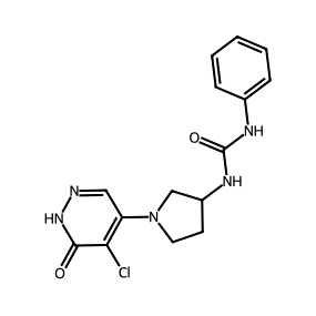 O=C(Nc1ccccc1)NC1CCN(c2cn[nH]c(=O)c2Cl)C1